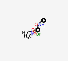 CCN(CC)S(=O)(=O)c1cc(C(=O)NCc2ccccc2)ccc1Br